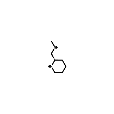 CNC[C@H]1CCCCN1